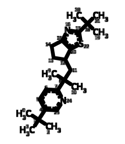 CC(C)(C)c1ccc(C(C)(C)CC2CCc3nc(C(C)(C)C)sc32)nc1